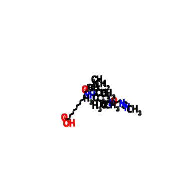 C=C(C)[C@@H]1CC[C@]2(C(=O)NCCCCCCCCCCC(=O)O)CC[C@]3(C)[C@H](CCC4[C@@]5(C)CCC(=NOCCN6CCN(C)CC6)C(C)(C)[C@@H]5CC[C@]43C)[C@@H]12